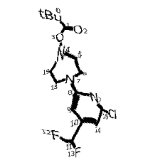 CC(C)(C)C(=O)ON1CCN(c2cc(C(F)F)cc(Cl)n2)CC1